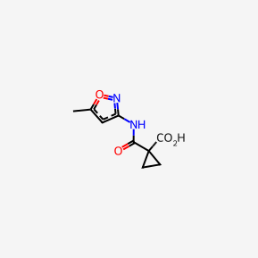 Cc1cc(NC(=O)C2(C(=O)O)CC2)no1